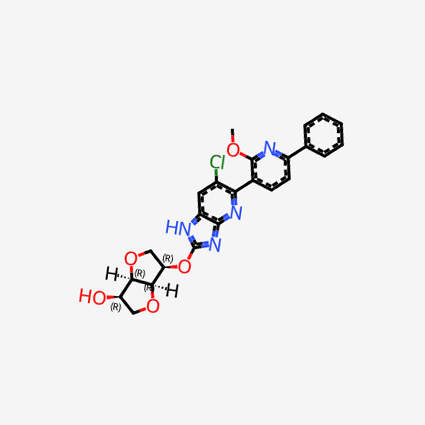 COc1nc(-c2ccccc2)ccc1-c1nc2nc(O[C@@H]3CO[C@H]4[C@@H]3OC[C@H]4O)[nH]c2cc1Cl